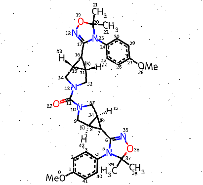 COc1ccc(N2C(C3[C@H]4CN(C(=O)N5C[C@@H]6C(C7=NOC(C)(C)N7c7ccc(OC)cc7)[C@@H]6C5)C[C@@H]34)=NOC2(C)C)cc1